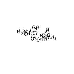 COc1nc(NC2CCN(C(=O)c3ccc([N+](=O)[O-])c(OCCN(C)C)c3)C2)ncc1C#N